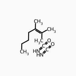 CCCCC(C)=C(C)C.N=C=O.N=C=O